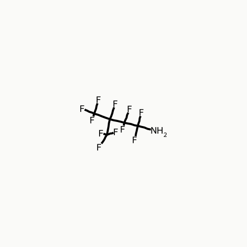 NC(F)(F)C(F)(F)C(F)(C(F)(F)F)C(F)(F)F